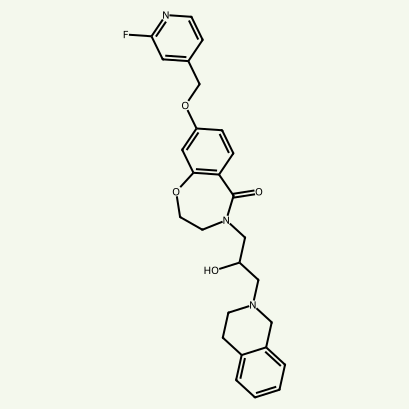 O=C1c2ccc(OCc3ccnc(F)c3)cc2OCCN1CC(O)CN1CCc2ccccc2C1